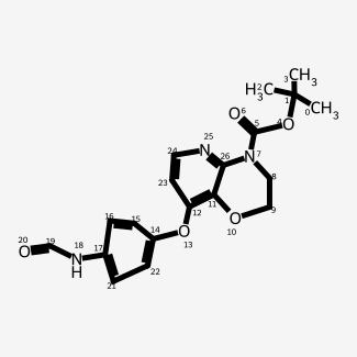 CC(C)(C)OC(=O)N1CCOc2c(Oc3ccc(NC=O)cc3)ccnc21